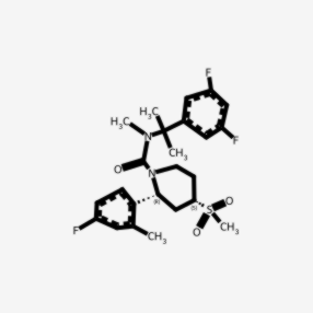 Cc1cc(F)ccc1[C@H]1C[C@@H](S(C)(=O)=O)CCN1C(=O)N(C)C(C)(C)c1cc(F)cc(F)c1